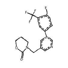 O=C1OCCCN1Cc1cncc(-c2ccc(F)c(C(F)(F)F)c2)c1